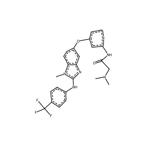 CN(C)CC(=O)Nc1cc(Oc2ccc3c(c2)nc(Nc2ccc(C(F)(F)F)cc2)n3C)ccn1